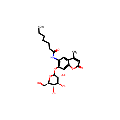 CCCCCCCCCCCCCCCC(=O)Nc1cc2c(C)cc(=O)oc2cc1O[C@@H]1O[C@H](CO)[C@H](O)[C@H](O)[C@H]1O